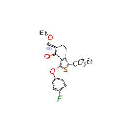 CCO/C=C1\CCc2c(C(=O)OCC)sc(Oc3ccc(F)cc3)c2C1=O